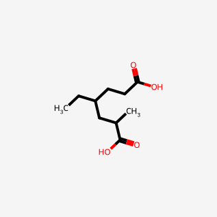 CCC(CCC(=O)O)CC(C)C(=O)O